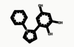 Oc1cc(O)c(O)c(-c2cccn2-c2ccccc2)c1